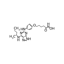 CCCC(C)Nc1nc(Nc2ccc(OCCCCC(=O)NO)cc2)nc2[nH]cnc12